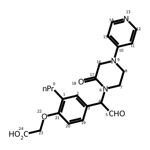 CCCc1cc(C(C=O)N2CCN(c3ccncc3)CC2=O)ccc1OCC(=O)O